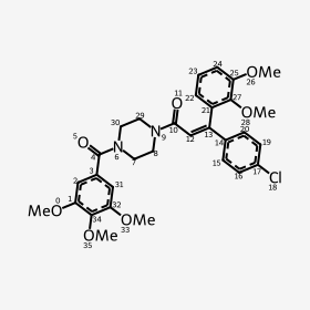 COc1cc(C(=O)N2CCN(C(=O)C=C(c3ccc(Cl)cc3)c3cccc(OC)c3OC)CC2)cc(OC)c1OC